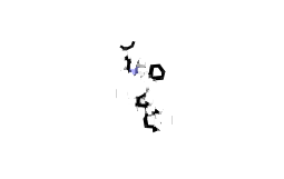 CCC(C)OC(=O)[C@H](C)/N=[P+](\[O-])Oc1ccccc1OC[C@H]1O[C@@H](n2ccc(=O)[nH]c2=O)[C@](C)(F)[C@@H]1O